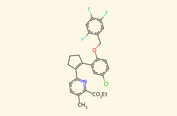 CCOC(=O)c1nc(C2=C(c3cc(Cl)ccc3OCc3cc(F)c(F)cc3F)CCC2)ccc1C